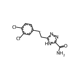 NC(=O)c1nnc(C[CH]c2ccc(Cl)c(Cl)c2)[nH]1